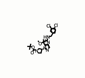 COc1nc(NCc2ccc(Cl)c(Cl)c2)nc2cnn([C@H]3CCN(C(=O)OC(C)(C)C)C3)c12